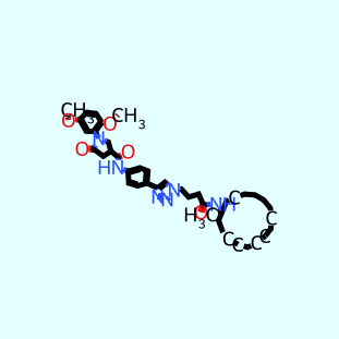 COc1ccc(OC)c(N2CC(C(=O)Nc3ccc(-c4cn(CCCC(=O)NC5(C)CCCCCCCCCCCCCCC5)nn4)cc3)CC2=O)c1